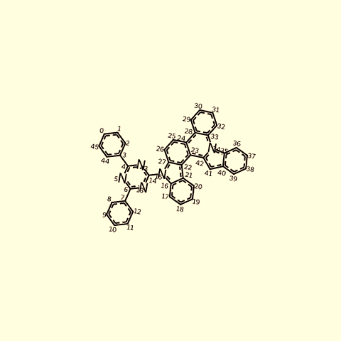 c1ccc(-c2nc(-c3ccccc3)nc(-n3c4ccccc4c4c5c(ccc43)c3ccccc3n3c4ccccc4cc53)n2)cc1